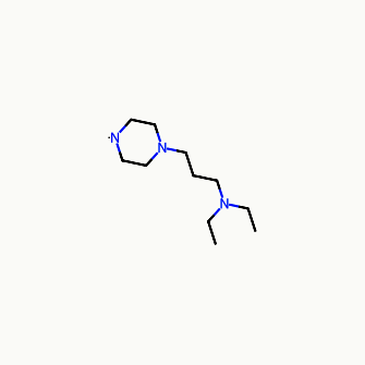 CCN(CC)CCCN1CC[N]CC1